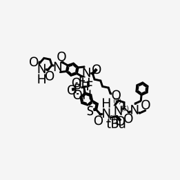 CC(C)(C)[C@H](NC(=O)c1cc2cc(C(F)(F)P(=O)(O)O)ccc2s1)C(=O)N1C[C@H](OCCCCCC(=O)N2Cc3cc4c(cc3C2)C(=O)N(C2CCC(=O)NC2=O)C4)C[C@H]1C(=O)N1CCOC(c2ccccc2)C1